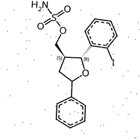 NS(=O)(=O)OC[C@@H]1CC(c2ccccc2)O[C@H]1c1ccccc1I